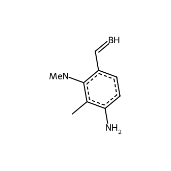 B=Cc1ccc(N)c(C)c1NC